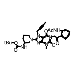 CC#CCn1c(N2CCCC(NC(=O)OC(C)(C)C)C2)nc2c1c(=O)n(CC(=O)c1ccccc1NC(C)=O)c(=O)n2C